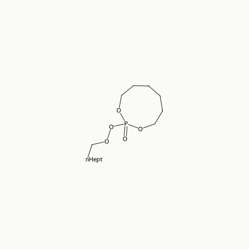 CCCCCCCCOOP1(=O)OCCCCCCO1